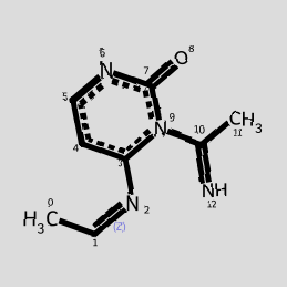 C/C=N\c1ccnc(=O)n1C(C)=N